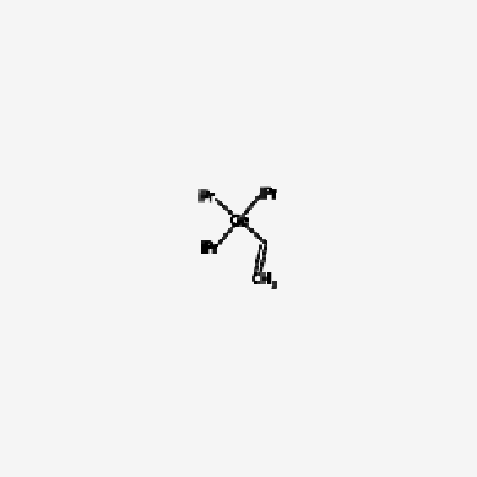 C=[CH][Ge]([CH](C)C)([CH](C)C)[CH](C)C